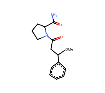 COC(CC(=O)N1CCCC1C(N)=O)c1ccccc1